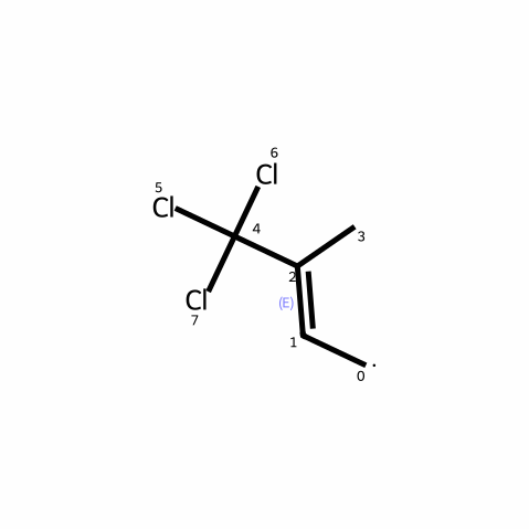 [CH2]/C=C(\C)C(Cl)(Cl)Cl